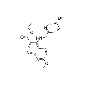 CCOC(=O)c1cnc2nc(OC)ccc2c1NCc1ccc(Br)cn1